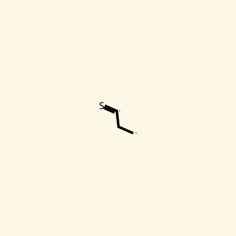 [CH2]C[C]=S